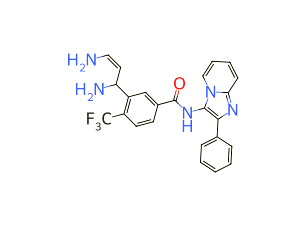 N/C=C\C(N)c1cc(C(=O)Nc2c(-c3ccccc3)nc3ccccn23)ccc1C(F)(F)F